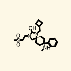 CN[C@]1(c2ccccc2)CC[C@]2(CC1)CN(CCS(C)(=O)=O)C(O)N2CC1CCC1